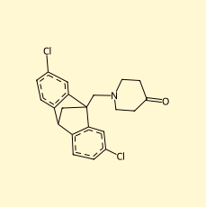 O=C1CCN(CC23CC(c4ccc(Cl)cc42)c2ccc(Cl)cc23)CC1